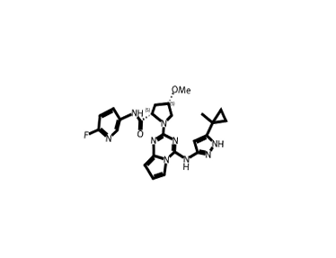 CO[C@H]1C[C@@H](C(=O)Nc2ccc(F)nc2)N(c2nc(Nc3cc(C4(C)CC4)[nH]n3)n3cccc3n2)C1